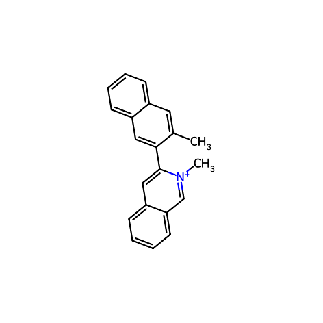 Cc1cc2ccccc2cc1-c1cc2ccccc2c[n+]1C